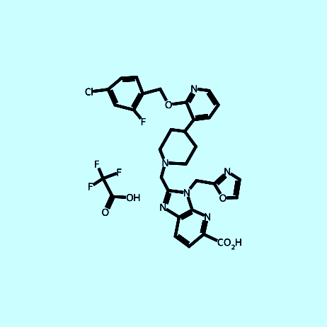 O=C(O)C(F)(F)F.O=C(O)c1ccc2nc(CN3CCC(c4cccnc4OCc4ccc(Cl)cc4F)CC3)n(Cc3ncco3)c2n1